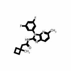 Cc1ccc2nc(NC(=O)CC3(C)CCC3)n(-c3cc(F)cc(F)c3)c2n1